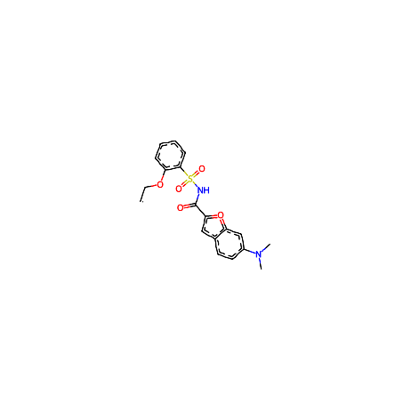 [CH2]COc1ccccc1S(=O)(=O)NC(=O)c1cc2ccc(N(C)C)cc2o1